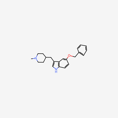 CN1CCC(Cc2c[nH]c3ccc(OCc4ccccc4)cc23)CC1